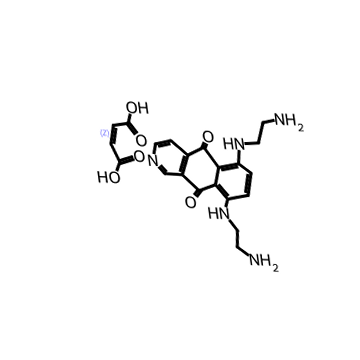 NCCNc1ccc(NCCN)c2c1C(=O)c1ccncc1C2=O.O=C(O)/C=C\C(=O)O